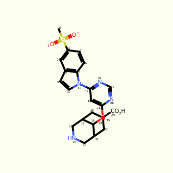 CS(=O)(=O)c1ccc2c(ccn2-c2cc(OC3C4CNCC3CC(C(=O)O)C4)ncn2)c1